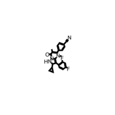 CC1=C(c2ccc(C#N)cc2)N(C)C2=C(c3ccc(F)cc3F)C(C3CC3)NN2C1=O